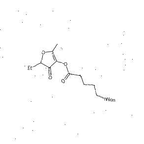 CCCCCCCCCCCCCC(=O)OC1=C(C)OC(CC)C1=O